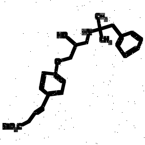 CCOC(=O)C/C=C/c1ccc(OCC(O)CNC(C)(C)Cc2ccccc2)cc1